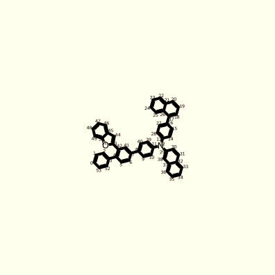 c1ccc(-c2ccc(-c3ccc(N(c4ccc(-c5cccc6ccccc56)cc4)c4ccc5ccccc5c4)cc3)cc2-c2cc3ccccc3o2)cc1